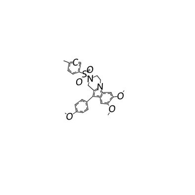 COc1ccc(-c2c3n(c4cc(OC)c(OC)cc24)CCN(S(=O)(=O)c2ccc(C)cc2)C3)cc1